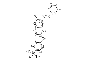 CC(Oc1ccc(Oc2ccc(C(F)(F)F)cn2)cc1)C(=O)OCc1ccccc1